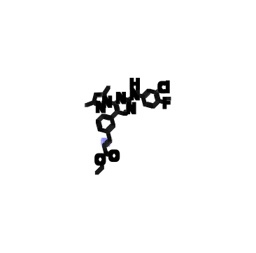 CCOC(=O)/C=C/c1cccc(-c2cnc(Nc3ccc(F)c(Cl)c3)nc2-n2nc(C)cc2C)c1